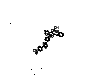 CC(C)CN(C[C@@H](O)[C@H](Cc1ccccc1)NC(=O)O)S(=O)(=O)c1ccc(-c2noc(-c3ccc([N+](=O)[O-])cc3)n2)cc1